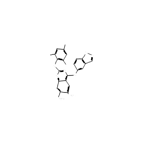 COc1cc2nc(Nc3c(F)cc(F)cc3F)nc(Nc3ccc4[nH]ncc4c3)c2cc1OC